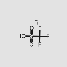 O=S(=O)(O)C(F)(F)F.[Ti]